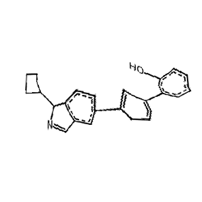 Oc1ccccc1C1=CCC(c2ccc3c(c2)C=NC3C2CCC2)=C1